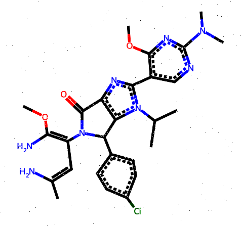 CO/C(N)=C(/C=C(/C)N)N1C(=O)c2nc(-c3cnc(N(C)C)nc3OC)n(C(C)C)c2C1c1ccc(Cl)cc1